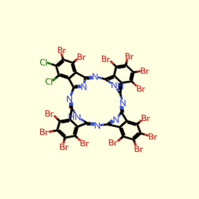 Clc1c(Cl)c2c(c(Br)c1Br)-c1nc-2nc2[nH]c(nc3nc(nc4[nH]c(n1)c1c(Br)c(Br)c(Br)c(Br)c41)-c1c(Br)c(Br)c(Br)c(Br)c1-3)c1c(Br)c(Br)c(Br)c(Br)c21